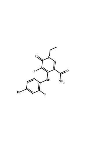 CCn1cc(C(N)=O)c(Nc2ccc(Br)cc2F)c(F)c1=O